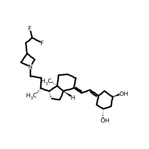 C[C@H](CCN1CC(CC(F)F)C1)[C@H]1CC[C@H]2/C(=C/C=C3C[C@@H](O)C[C@H](O)C3)CCC[C@]12C